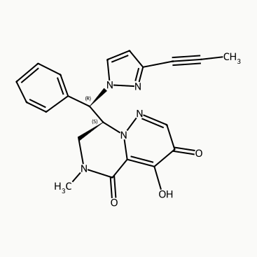 CC#Cc1ccn([C@H](c2ccccc2)[C@@H]2CN(C)C(=O)c3c(O)c(=O)cnn32)n1